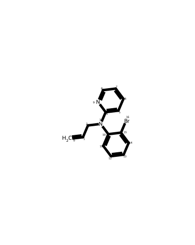 C=CCN(c1ccccn1)c1ccccc1Br